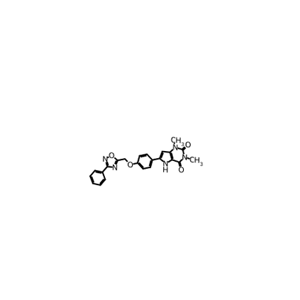 Cn1c(=O)c2[nH]c(-c3ccc(OCc4nc(-c5ccccc5)no4)cc3)cc2n(C)c1=O